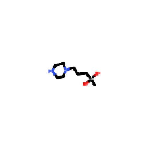 C[Si](O)(O)CCCN1CCNCC1